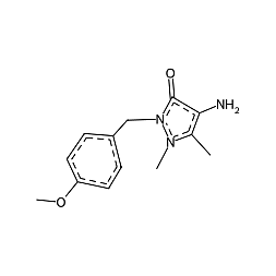 COc1ccc(Cn2c(=O)c(N)c(C)n2C)cc1